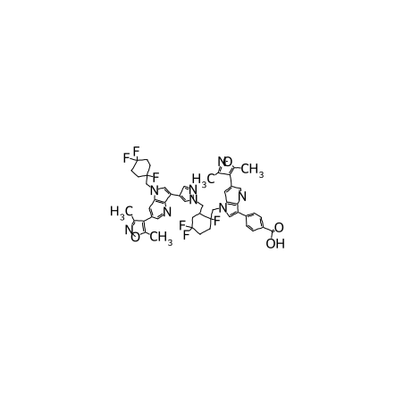 Cc1noc(C)c1-c1cnc2c(-c3cnn(CC4CC(F)(F)CCC4(F)Cn4cc(-c5ccc(C(=O)O)cc5)c5ncc(-c6c(C)noc6C)cc54)c3)cn(CC3(F)CCC(F)(F)CC3)c2c1